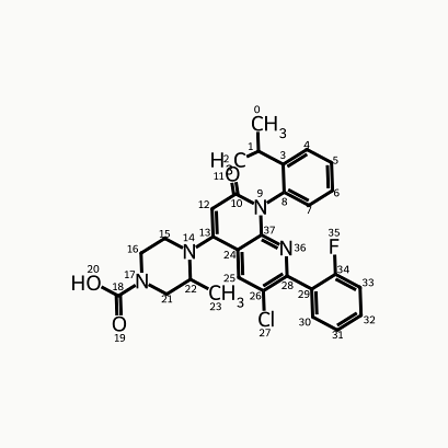 CC(C)c1ccccc1-n1c(=O)cc(N2CCN(C(=O)O)CC2C)c2cc(Cl)c(-c3ccccc3F)nc21